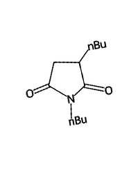 CCCCC1CC(=O)N(CCCC)C1=O